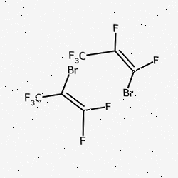 FC(Br)=C(F)C(F)(F)F.FC(F)=C(Br)C(F)(F)F